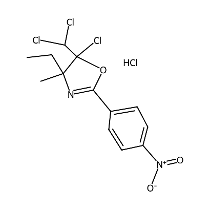 CCC1(C)N=C(c2ccc([N+](=O)[O-])cc2)OC1(Cl)C(Cl)Cl.Cl